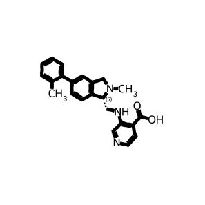 Cc1ccccc1-c1ccc2c(c1)CN(C)[C@@H]2CNc1cnccc1C(=O)O